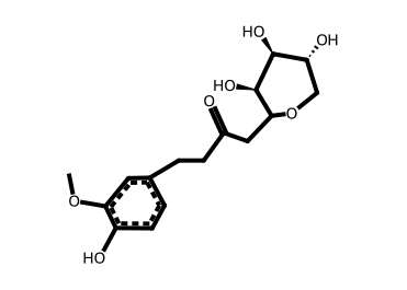 COc1cc(CCC(=O)CC2OC[C@@H](O)[C@H](O)[C@@H]2O)ccc1O